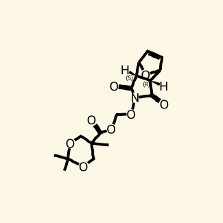 CC1(C)OCC(C)(C(=O)OCON2C(=O)[C@@H]3C4C=CC(O4)[C@@H]3C2=O)CO1